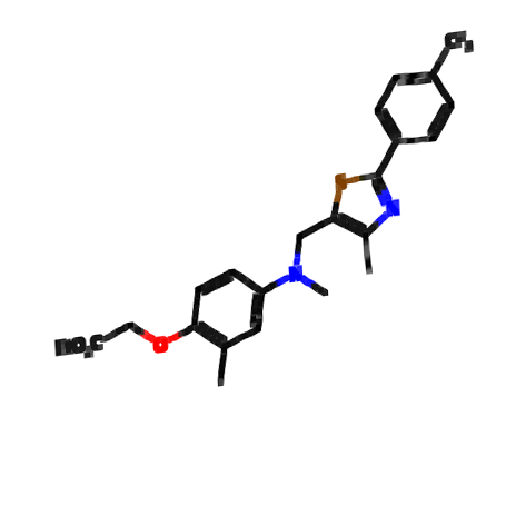 CCOC(=O)COc1ccc(N(C)Cc2sc(-c3ccc(C(F)(F)F)cc3)nc2C)cc1C